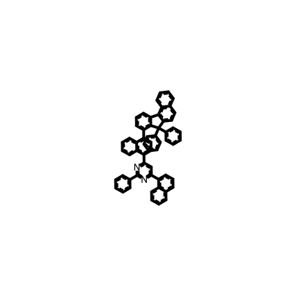 c1ccc(-c2nc(-c3cccc4ccccc34)cc(-c3ccc(-c4cccc5c4C(c4ccccc4)(c4ccccc4)c4ccc6ccccc6c4-5)c4ccccc34)n2)cc1